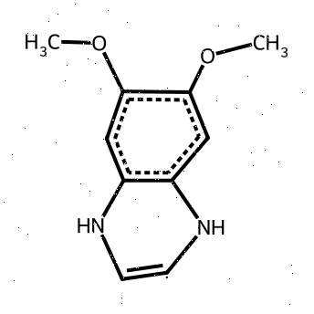 COc1cc2c(cc1OC)NC=[C]N2